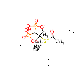 CC(=O)SC(C)(C)C(P(=O)([O-])[O-])P(=O)(O)O.[Na+].[Na+]